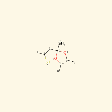 CCOC([SiH3])(CC(C)S)OCC